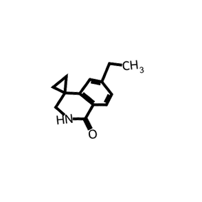 CCc1ccc2c(c1)C1(CC1)CNC2=O